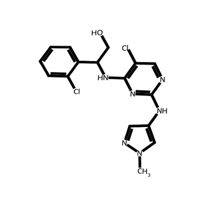 Cn1cc(Nc2ncc(Cl)c(NC(CO)c3ccccc3Cl)n2)cn1